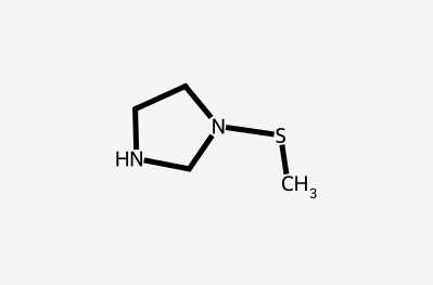 CSN1CCNC1